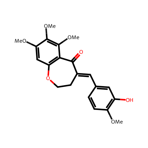 COc1ccc(C=C2CCOc3cc(OC)c(OC)c(OC)c3C2=O)cc1O